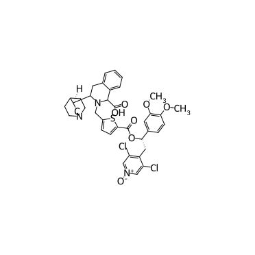 COc1ccc([C@H](Cc2c(Cl)c[n+]([O-])cc2Cl)OC(=O)c2ccc(CN3C(C(=O)O)c4ccccc4CC3[C@H]3CN4CCC3CC4)s2)cc1OC